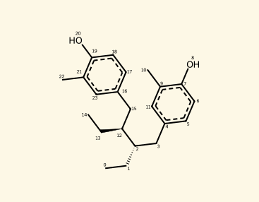 CC[C@@H](Cc1ccc(O)c(C)c1)[C@@H](CC)Cc1ccc(O)c(C)c1